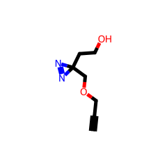 C#CCOCC1(CCO)N=N1